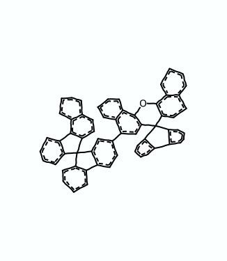 c1ccc2c(c1)-c1ccc(-c3cc4c(c5ccccc35)Oc3c(ccc5ccccc35)C43c4ccccc4-c4ccccc43)cc1C21c2ccccc2-c2c1ccc1ccccc21